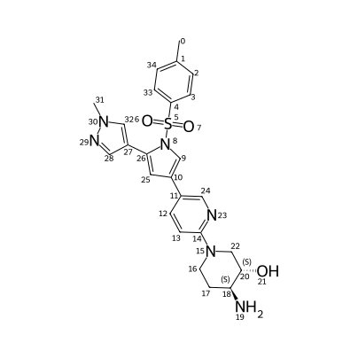 Cc1ccc(S(=O)(=O)n2cc(-c3ccc(N4CC[C@H](N)[C@@H](O)C4)nc3)cc2-c2cnn(C)c2)cc1